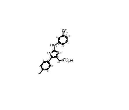 Cc1ccc(-c2nc(Nc3cccc(C(F)(F)F)c3)sc2CC(=O)O)cc1